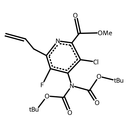 C=CCc1nc(C(=O)OC)c(Cl)c(N(C(=O)OC(C)(C)C)C(=O)OC(C)(C)C)c1F